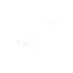 CN(C)CCn1nc(-c2ccc(F)cc2)c(-c2ccncc2)c1CCCc1ccccc1